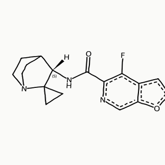 O=C(N[C@H]1C2CCN(CC2)C12CC2)c1ncc2occc2c1F